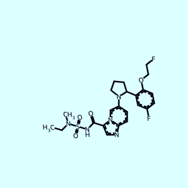 CCN(C)S(=O)(=O)NC(=O)c1cnc2ccc(N3CCCC3c3cc(F)ccc3OCCF)cn12